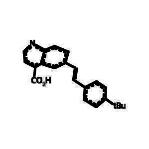 CC(C)(C)c1ccc(C=Cc2ccc3nccc(C(=O)O)c3c2)cc1